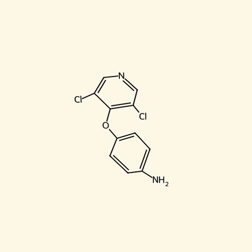 Nc1ccc(Oc2c(Cl)cncc2Cl)cc1